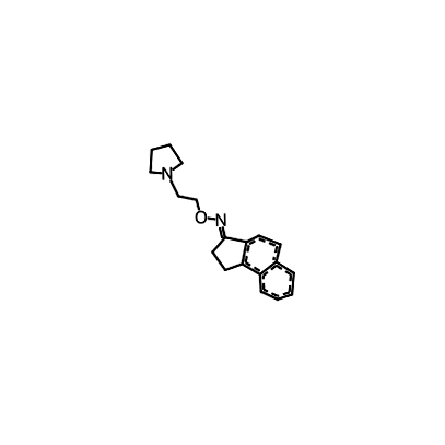 c1ccc2c3c(ccc2c1)C(=NOCCN1CCCC1)CC3